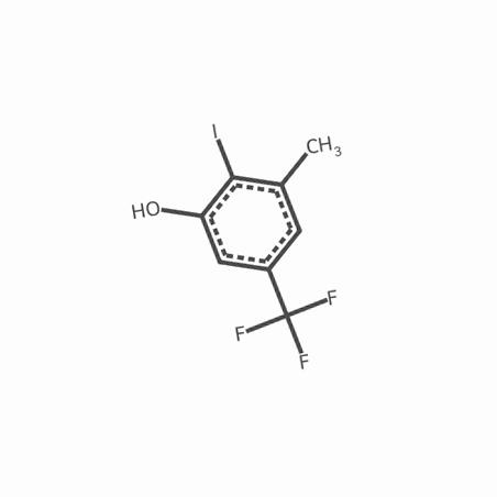 Cc1cc(C(F)(F)F)cc(O)c1I